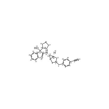 N#Cc1ccc(CN2CC3[C@H](C2)[C@H]3NC(=O)C(O)(c2ccccc2)C2CCCC2)cc1